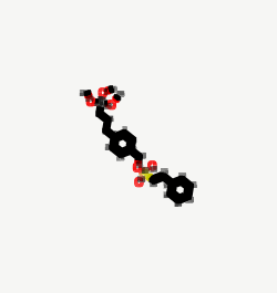 CO[Si](CCCc1ccc(COS(=O)(=O)C=Cc2ccccc2)cc1)(OC)OC